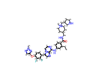 CCc1cc(Nc2nccn3c(-c4ccc(Oc5cnn(C)n5)c(F)c4F)cnc23)ccc1C(=O)NCC1CC[N+](C)(CC2CCNC2)CC1